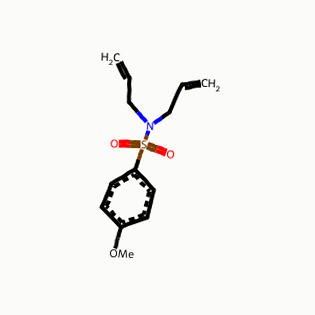 C=CCN(CC=C)S(=O)(=O)c1ccc(OC)cc1